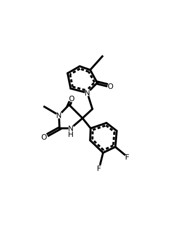 Cc1cccn(CC2(c3ccc(F)c(F)c3)NC(=O)N(C)C2=O)c1=O